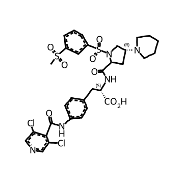 CS(=O)(=O)c1cccc(S(=O)(=O)N2C[C@H](N3CCCCC3)CC2C(=O)N[C@@H](Cc2ccc(NC(=O)c3c(Cl)cncc3Cl)cc2)C(=O)O)c1